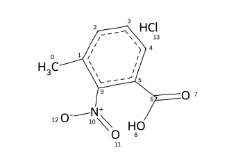 Cc1cccc(C(=O)O)c1[N+](=O)[O-].Cl